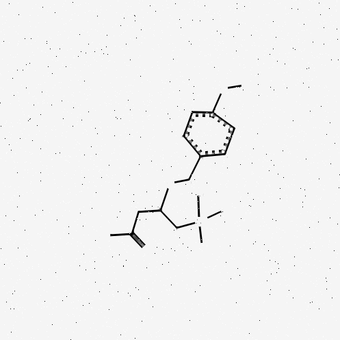 COc1ccc(COC(CC(=O)[O-])C[N+](C)(C)C)cc1